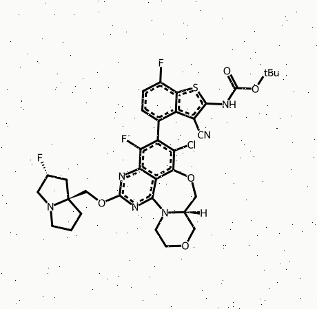 CC(C)(C)OC(=O)Nc1sc2c(F)ccc(-c3c(Cl)c4c5c(nc(OC[C@@]67CCCN6C[C@H](F)C7)nc5c3F)N3CCOC[C@H]3CO4)c2c1C#N